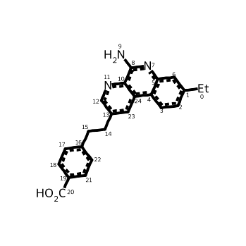 CCc1ccc2c(c1)nc(N)c1ncc(CCc3ccc(C(=O)O)cc3)cc12